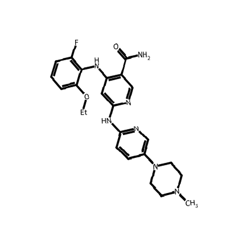 CCOc1cccc(F)c1Nc1cc(Nc2ccc(N3CCN(C)CC3)cn2)ncc1C(N)=O